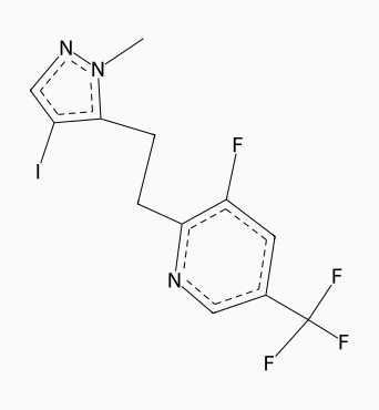 Cn1ncc(I)c1CCc1ncc(C(F)(F)F)cc1F